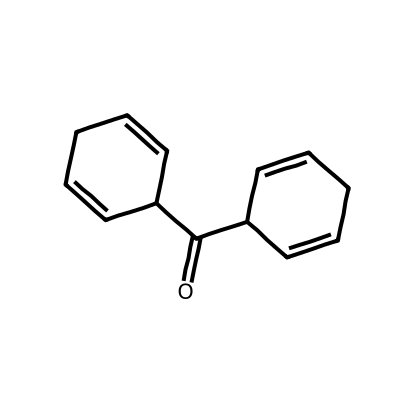 O=C(C1C=CCC=C1)C1C=CCC=C1